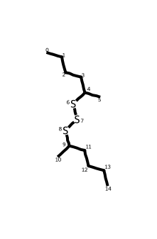 CCCCC(C)SSSC(C)CCCC